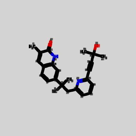 Cc1cc2ccc(C(C)(C#N)Cc3cccc(C#CC(C)(C)O)n3)cc2[nH]c1=O